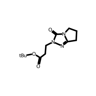 CC(C)(C)OC(=O)CCn1nc2n(c1=O)CCC2